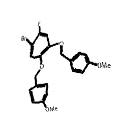 COc1ccc(COc2cc(F)c(Br)cc2OCc2ccc(OC)cc2)cc1